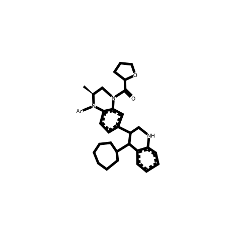 CC(=O)N1c2ccc(C3CNc4ccccc4C3C3CCCCCC3)cc2N(C(=O)C2CCCO2)C[C@@H]1C